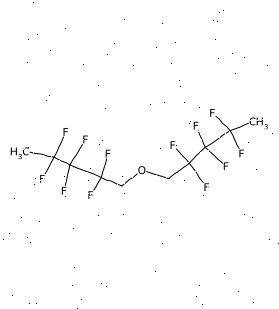 CC(F)(F)C(F)(F)C(F)(F)COCC(F)(F)C(F)(F)C(C)(F)F